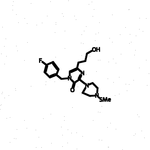 CSN1CCN(c2nc(CCCO)cn(Cc3ccc(F)cc3)c2=O)CC1